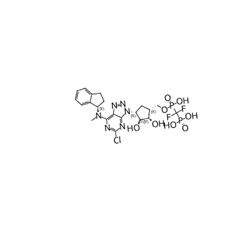 CN(c1nc(Cl)nc2c1nnn2[C@@H]1C[C@H](COP(=O)(O)C(F)(F)P(=O)(O)O)[C@@H](O)[C@H]1O)[C@@H]1CCc2ccccc21